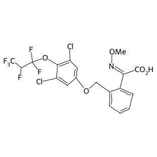 CON=C(C(=O)O)c1ccccc1COc1cc(Cl)c(OC(F)(F)C(F)C(F)(F)F)c(Cl)c1